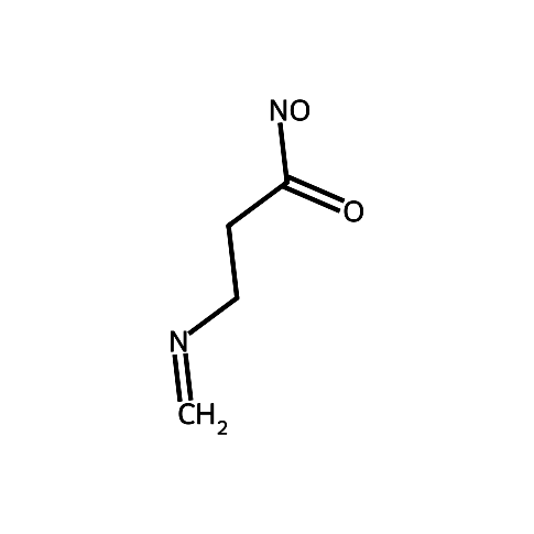 C=NCCC(=O)N=O